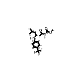 COC(=O)NC(=O)C[C@@H](CC(C)C)Nc1ccc(C(F)(F)F)cc1